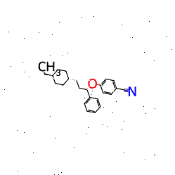 CC[C@H]1CC[C@H](CCC(Oc2ccc(C#N)cc2)c2ccccc2)CC1